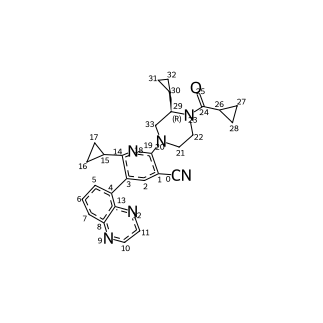 N#Cc1cc(-c2cccc3nccnc23)c(C2CC2)nc1N1CCN(C(=O)C2CC2)[C@H](C2CC2)C1